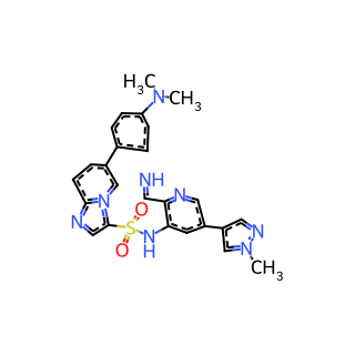 CN(C)c1ccc(-c2ccc3ncc(S(=O)(=O)Nc4cc(-c5cnn(C)c5)cnc4C=N)n3c2)cc1